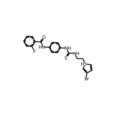 O=C(Nc1ccc(NC(=S)NCC[SH]2C=CC(Br)=C2)cc1)c1ccccc1F